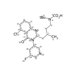 CC(CCN(C(=O)O)C(C)(C)C)Cc1nc2cccc(Cl)c2c(=O)n1-c1cncc(F)c1